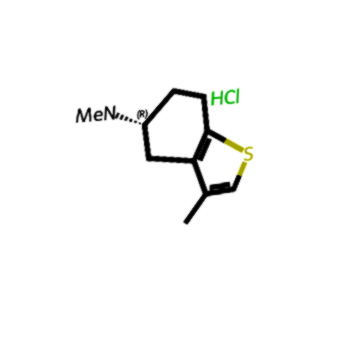 CN[C@@H]1CCc2scc(C)c2C1.Cl